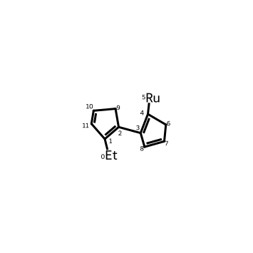 CCC1=C(C2=[C]([Ru])CC=C2)CC=C1